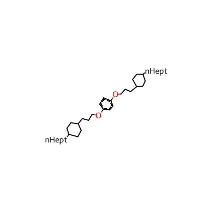 CCCCCCCC1CCC(CCCOc2ccc(OCCCC3CCC(CCCCCCC)CC3)cc2)CC1